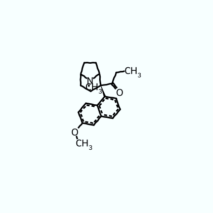 CCC(=O)[C@]1(c2cccc3cc(OC)ccc23)CCC2CCC1N2C